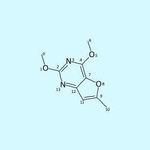 COc1nc(OC)c2oc(C)cc2n1